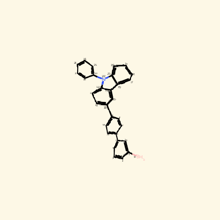 Bc1cccc(-c2ccc(-c3ccc4c(c3)c3ccccc3n4-c3ccccc3)cc2)c1